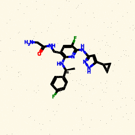 C[C@H](Nc1nc(Nc2cc(C3CC3)[nH]n2)c(F)cc1CNC(=O)CN)c1ccc(F)cc1